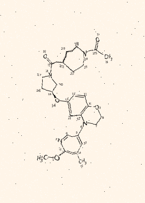 COc1ncc(N2CCOc3ccc(O[C@H]4CCN(C(=O)C5CCN(C(C)=O)CC5)C4)cc32)cc1C